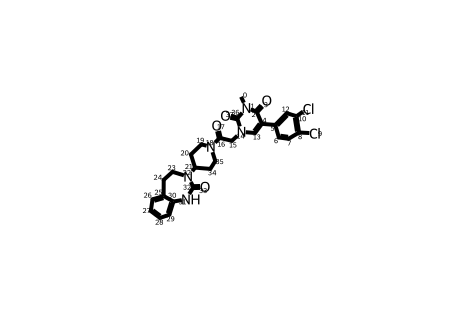 Cn1c(=O)c(-c2ccc(Cl)c(Cl)c2)cn(CC(=O)N2CCC(N3CCc4ccccc4NC3=O)CC2)c1=O